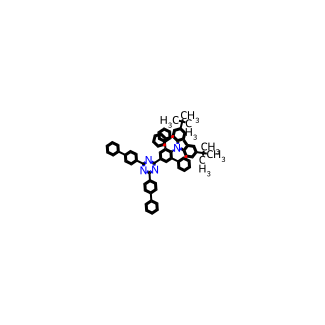 CC(C)(C)c1ccc2c(c1)c1cc(C(C)(C)C)cc(-c3ccccc3)c1n2-c1c(-c2ccccc2)cc(-c2nc(-c3ccc(-c4ccccc4)cc3)nc(-c3ccc(-c4ccccc4)cc3)n2)cc1-c1ccccc1